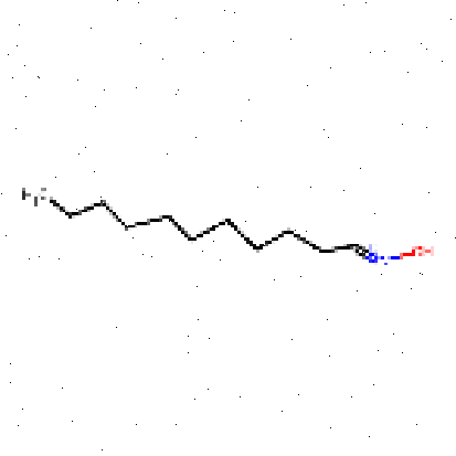 CCCCCCCCCC/C=N/O